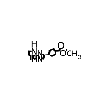 CCOC(=O)c1ccc(-c2c[nH]c(-c3ncc[nH]3)n2)cc1